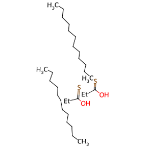 CCC(O)=S.CCC(O)=S.CCCCCCCCCCCC.CCCCCCCCCCCC